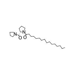 CCCCCCCCCCCCCCCC(=O)N1CCC[C@H]1C(=O)N1CCCC1